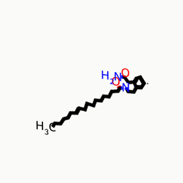 CCCCCCC=CCCCCCCCCCC(=O)N1CCc2c[c]ccc2C1C(N)=O